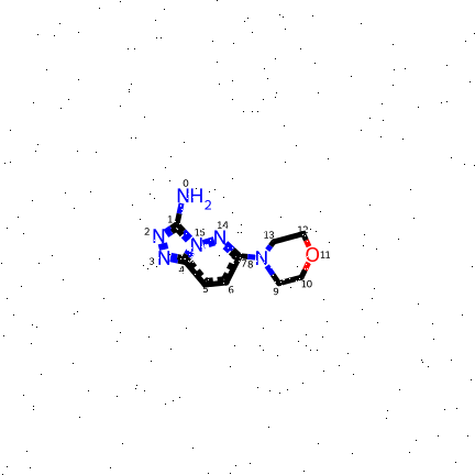 Nc1nnc2ccc(N3CCOCC3)nn12